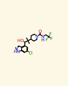 CC(C)(C1CCN(C(=O)NCC(F)(F)F)CC1)C(O)c1cc(Cl)cc2[nH]ncc12